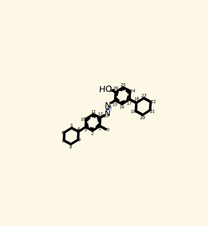 Cc1cc(C2CCCCC2)ccc1/N=N/c1cc(C2CCCCC2)ccc1O